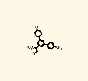 Cc1ccc(-c2cc(C3CCC(C(F)(F)F)CN3)cc(C(CC(C)C)C(=O)O)c2)cc1